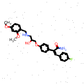 COc1ccc(CNCC(O)COc2ccc(/C(=C/c3ccc(F)cc3)C(N)=O)cc2)c(OC)c1